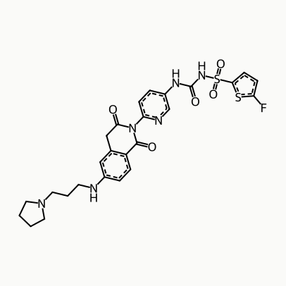 O=C(Nc1ccc(N2C(=O)Cc3cc(NCCCN4CCCC4)ccc3C2=O)nc1)NS(=O)(=O)c1ccc(F)s1